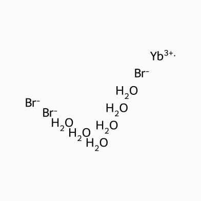 O.O.O.O.O.O.[Br-].[Br-].[Br-].[Yb+3]